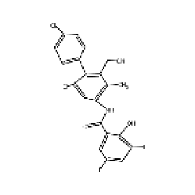 Cc1c(NC(=O)c2cc(I)cc(I)c2O)cc(Cl)c(-c2ccc(Cl)cc2)c1CC#N